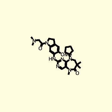 COc1cc2c(cc1Nc1ncc3c(n1)N(C1CCCC1)CC(C)(C)C(=O)N3C)N(C(=O)CN(C)C)CC2